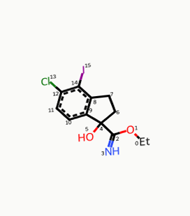 CCOC(=N)C1(O)CCc2c1ccc(Cl)c2I